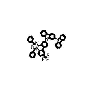 FC(F)(F)c1cccc(-c2ccc(-n3c4ccccc4c4ccc(-n5c6ccccc6c6ccccc65)cc43)cc2-c2nc(-c3ccccc3)nc(-c3ccccc3)n2)c1